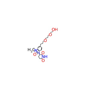 Cn1c(=O)n(C2CCC(=O)NC2=O)c2ccc(CCCOCCCOCCO)cc21